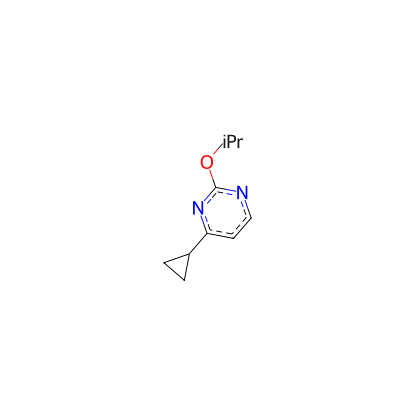 CC(C)Oc1nccc(C2CC2)n1